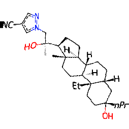 CCC[C@@]1(O)CC[C@@]2(CC)[C@H](CC[C@H]3[C@@H]4CC[C@H]([C@@](C)(O)Cn5cc(C#N)cn5)[C@@]4(C)CC[C@@H]32)C1